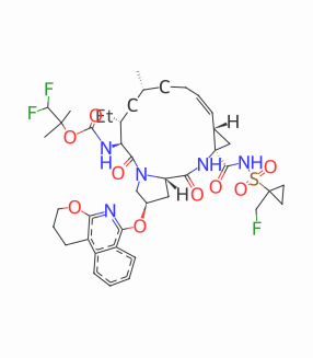 CC[C@@H]1C[C@H](C)CC/C=C\[C@@H]2C[C@@]2(C(=O)NS(=O)(=O)C2(CF)CC2)NC(=O)[C@@H]2C[C@@H](Oc3nc4c(c5ccccc35)CCCO4)CN2C(=O)[C@H]1NC(=O)OC(C)(C)C(F)F